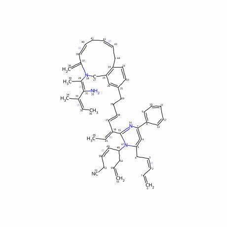 C=C/C=C\CC1=C=C(c2ccccc2)N=C(/C(C=CCCc2ccc3c(c2)CN(/C(C)=C(N)/C(C)=C\C)C(=C)/C=C\C/C=C\C3)=C/C)N1C(/C=C\CC#N)CC=C